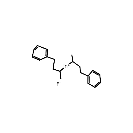 C[CH](CCc1ccccc1)[In+][CH](C)CCc1ccccc1.[F-]